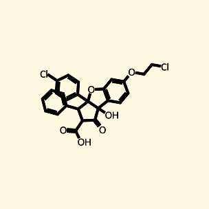 O=C(O)C1C(=O)C2(O)c3ccc(OCCCl)cc3OC2(c2ccc(Cl)cc2)C1c1ccccc1